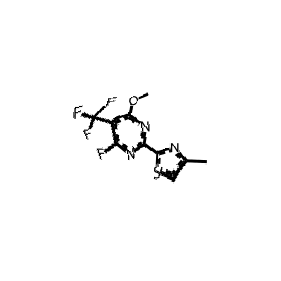 COc1nc(-c2nc(C)cs2)nc(F)c1C(F)(F)F